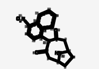 O=C1CC2CCC(CC(=O)N1c1ccc([N+](=O)[O-])c3ccccc13)N2